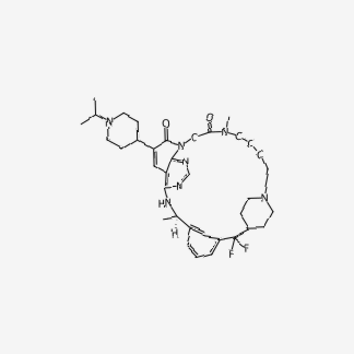 CC(C)N1CCC(c2cc3c4ncnc3n(c2=O)CC(=O)N(C)CCCCN2CCC(CC2)C(F)(F)c2cccc(c2)[C@@H](C)N4)CC1